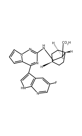 O=C(O)[C@@H]1C(Nc2nc(-c3c[nH]c4ncc(F)cc34)c3cccn3n2)[C@H]2CC[C@@H]1CC2